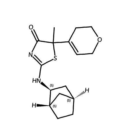 CC1(C2=CCOCC2)SC(N[C@H]2C[C@H]3CC[C@H]2C3)=NC1=O